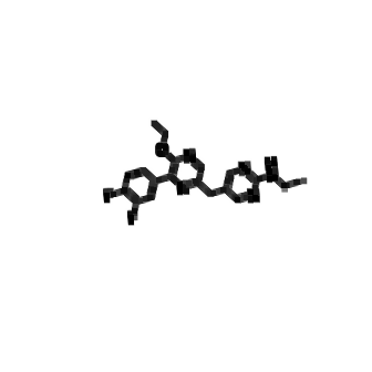 [CH2][CH]Nc1ncc(Cc2cnc(OCC)c(-c3ccc(F)c(F)c3)n2)cn1